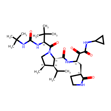 CC(C)[C@@H]1[C@@H](C(=O)N[C@@H](C[C@@H]2CCNC2=O)C(=O)C(=O)NC2CC2)N(C(=O)[C@@H](NC(=O)NC(C)(C)C)C(C)(C)C)C[C@@H]1C